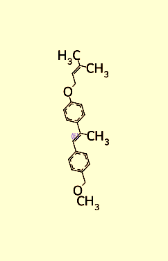 COCc1ccc(/C=C(\C)c2ccc(OCC=C(C)C)cc2)cc1